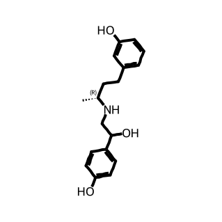 C[C@H](CCc1cccc(O)c1)NCC(O)c1ccc(O)cc1